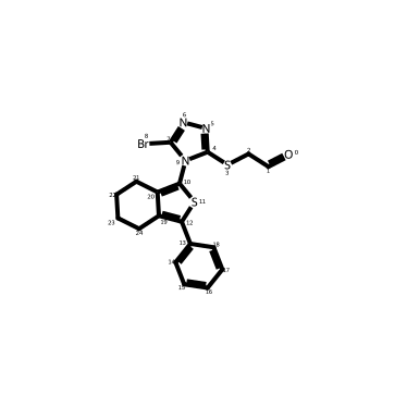 O=CCSc1nnc(Br)n1-c1sc(-c2ccccc2)c2c1CCCC2